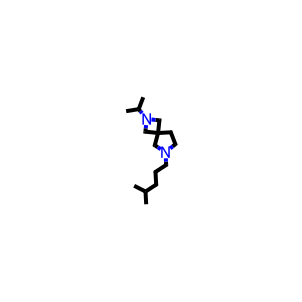 CC(C)CCCN1CCC2(C1)CN(C(C)C)C2